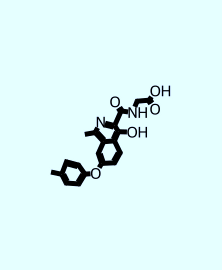 Cc1ccc(Oc2ccc3c(O)c(C(=O)NCC(=O)O)nc(C)c3c2)cc1